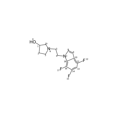 OC1CCN(CCn2ccc3c(F)cc(F)c(F)c32)C1